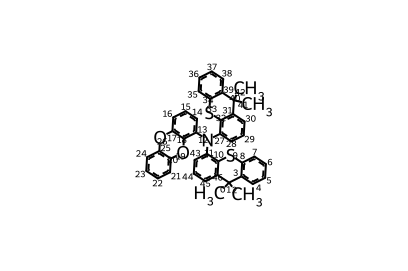 CC1(C)c2ccccc2Sc2c(N(c3cccc4c3Oc3ccccc3O4)c3cccc4c3Sc3ccccc3C4(C)C)cccc21